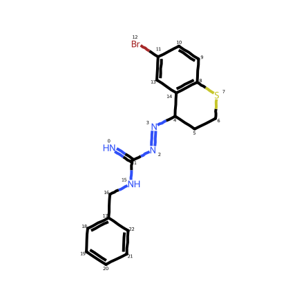 N=C(N=NC1CCSc2ccc(Br)cc21)NCc1ccccc1